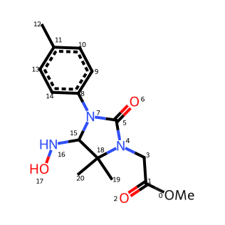 COC(=O)CN1C(=O)N(c2ccc(C)cc2)C(NO)C1(C)C